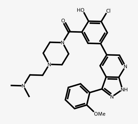 COc1ccccc1-c1n[nH]c2ncc(-c3cc(Cl)c(O)c(C(=O)N4CCN(CCN(C)C)CC4)c3)cc12